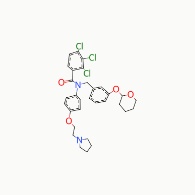 O=C(c1ccc(Cl)c(Cl)c1Cl)N(Cc1cccc(OC2CCCCO2)c1)c1ccc(OCCN2CCCC2)cc1